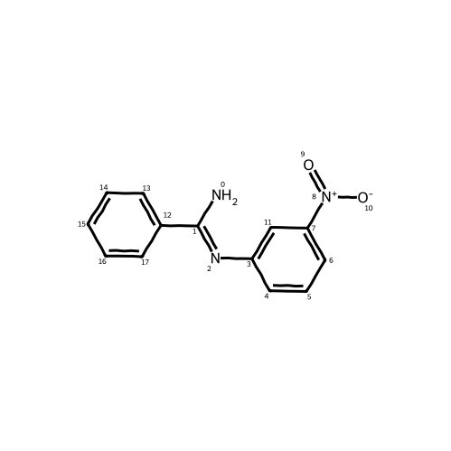 NC(=Nc1cccc([N+](=O)[O-])c1)c1ccccc1